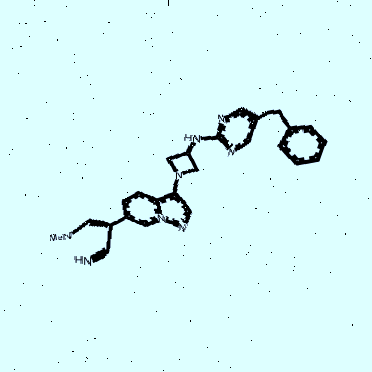 CN/C=C(\C=N)c1ccc2c(N3CC(Nc4ncc(Cc5ccccc5)cn4)C3)cnn2c1